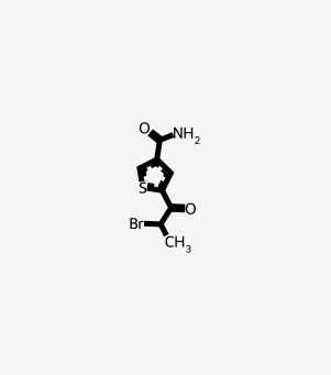 CC(Br)C(=O)c1cc(C(N)=O)cs1